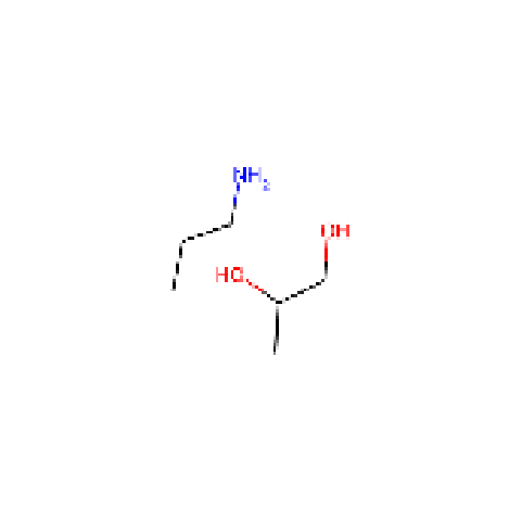 CC(O)CO.CCCN